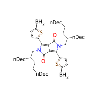 Bc1ccc(C2=C3C(=O)N(CC(CCCCCCCCCC)CCCCCCCCCCCC)C(c4ccc(B)s4)=C3C(=O)N2CC(CCCCCCCCCC)CCCCCCCCCCCC)s1